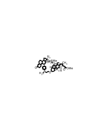 COC(=O)CC[C@@H](C)[C@H]1CC[C@H]2[C@@H]3[C@H](OCSC)C[C@@H]4C[C@@H](OCCN(C)c5ccc([C@H]6C[C@@]7(C)C(CC[C@]7(C)O)C7CCC8=CC(=O)CCC8=C76)cc5)CC[C@]4(C)[C@H]3C[C@H](O)[C@]12C